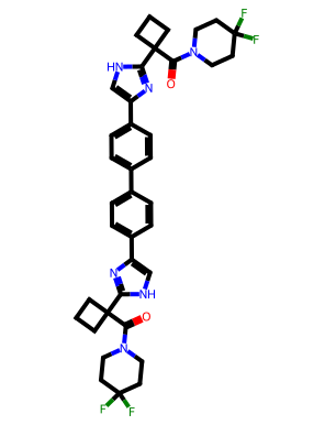 O=C(N1CCC(F)(F)CC1)C1(c2nc(-c3ccc(-c4ccc(-c5c[nH]c(C6(C(=O)N7CCC(F)(F)CC7)CCC6)n5)cc4)cc3)c[nH]2)CCC1